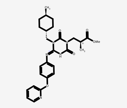 COC(=O)[C@@H](C)Cn1c(=O)[nH]/c(=N\c2ccc(Oc3ccccn3)cc2)n(C[C@H]2CC[C@H](C)CC2)c1=O